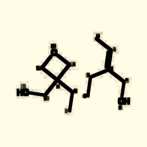 C/C=C(\CC)CO.CCC1(CO)COC1